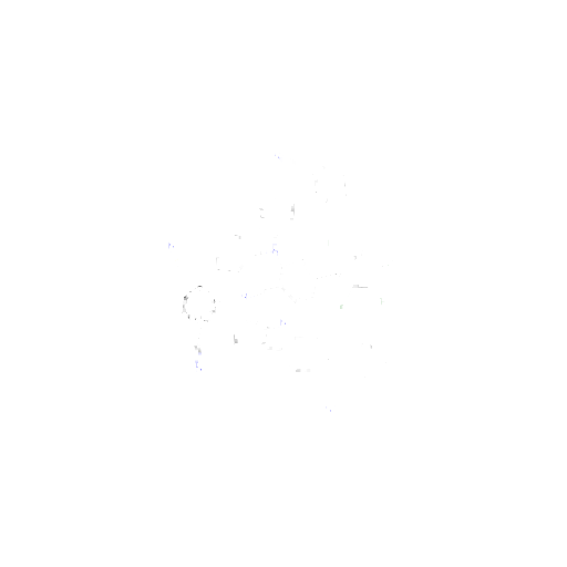 N#Cc1ccccc1-c1ccc2c3ccc(-c4ccccc4C#N)cc3n(-c3cc(-c4c(F)c(F)c(F)c(F)c4F)cc(-n4c5cc(-c6ccccc6C#N)ccc5c5ccc(-c6ccccc6C#N)cc54)c3C#N)c2c1